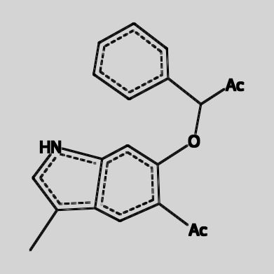 CC(=O)c1cc2c(C)c[nH]c2cc1OC(C(C)=O)c1ccccc1